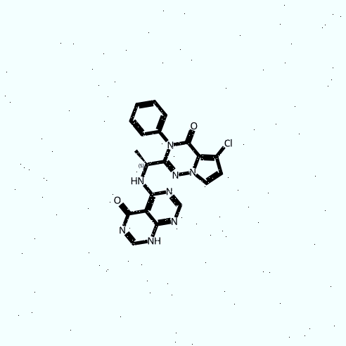 C[C@H](Nc1ncnc2[nH]cnc(=O)c12)c1nn2ccc(Cl)c2c(=O)n1-c1ccccc1